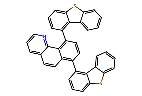 c1cnc2c(c1)ccc1c(-c3cccc4sc5ccccc5c34)ccc(-c3cccc4sc5ccccc5c34)c12